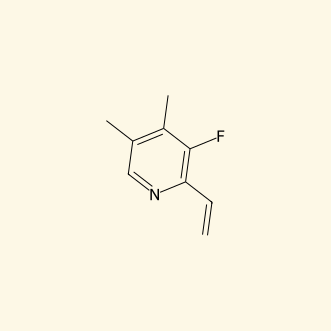 C=Cc1ncc(C)c(C)c1F